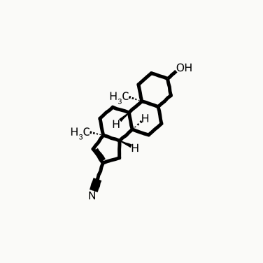 C[C@@]12C=C(C#N)C[C@H]1[C@@H]1CCC3CC(O)CC[C@]3(C)[C@H]1CC2